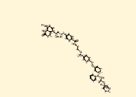 O=C(NC(c1ccccc1)c1cccc(OCc2ccc(C(=O)OCCNC(=O)c3ccc(CNC[C@H](O)c4ccc(O)c5[nH]c(=O)ccc45)cc3)cc2)c1)O[C@H]1CN2CCC1CC2